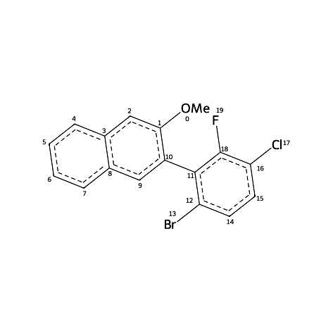 COc1cc2ccccc2cc1-c1c(Br)ccc(Cl)c1F